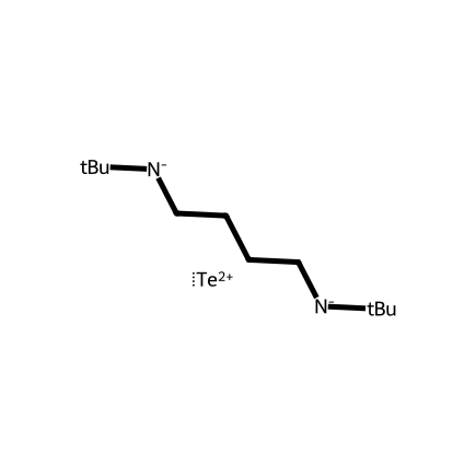 CC(C)(C)[N-]CCCC[N-]C(C)(C)C.[Te+2]